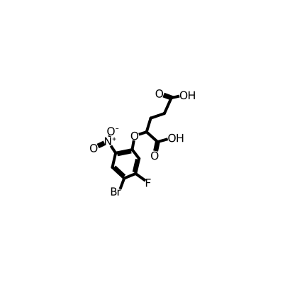 O=C(O)CCC(Oc1cc(F)c(Br)cc1[N+](=O)[O-])C(=O)O